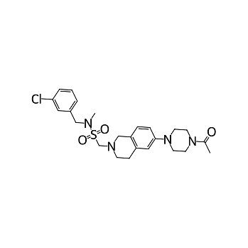 CC(=O)N1CCN(c2ccc3c(c2)CCN(CS(=O)(=O)N(C)Cc2cccc(Cl)c2)C3)CC1